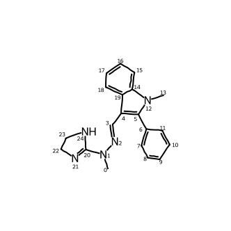 CN(N=Cc1c(-c2ccccc2)n(C)c2ccccc12)C1=NCCN1